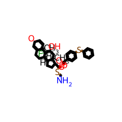 C[C@]12C=CC(=O)C=C1CC[C@H]1[C@@H]3CC[C@](OC(=O)c4ccc(Sc5ccccc5)cc4)(C(=O)SCN)[C@@]3(C)C[C@H](O)[C@@]12F